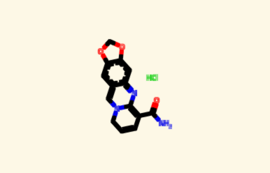 Cl.NC(=O)C1=C2N=c3cc4c(cc3=CN2CC=C1)OCO4